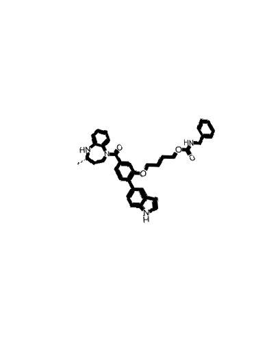 C[C@H]1CCN(C(=O)c2ccc(-c3ccc4[nH]ccc4c3)c(OCCCCOC(=O)NCc3ccccc3)c2)c2ccccc2N1